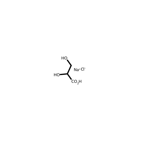 O=C(O)C(O)CO.[Cl-].[Na+]